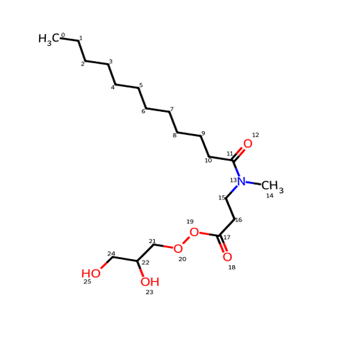 CCCCCCCCCCCC(=O)N(C)CCC(=O)OOCC(O)CO